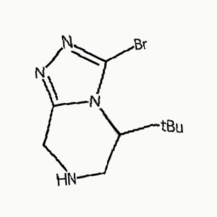 CC(C)(C)C1CNCc2nnc(Br)n21